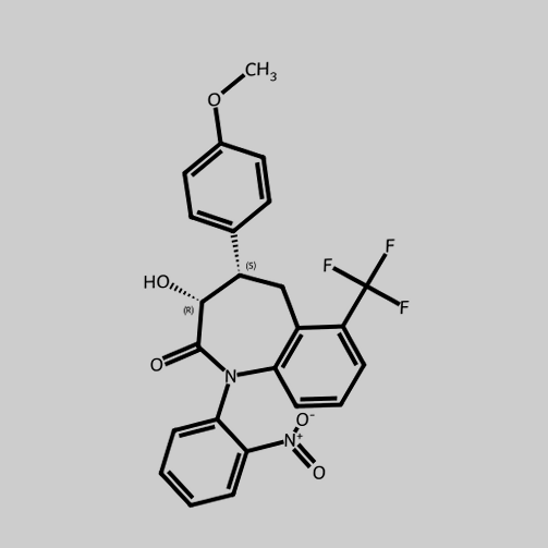 COc1ccc([C@@H]2Cc3c(cccc3C(F)(F)F)N(c3ccccc3[N+](=O)[O-])C(=O)[C@@H]2O)cc1